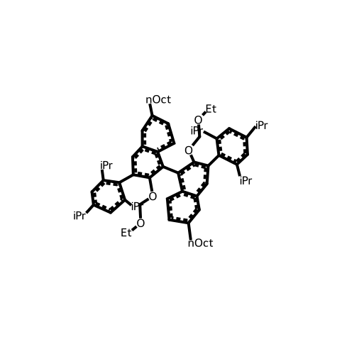 CCCCCCCCc1ccc2c(-c3c(OCOCC)c(-c4c(C(C)C)cc(C(C)C)cc4C(C)C)cc4cc(CCCCCCCC)ccc34)c(OCOCC)c(-c3c(C(C)C)cc(C(C)C)cc3C(C)C)cc2c1